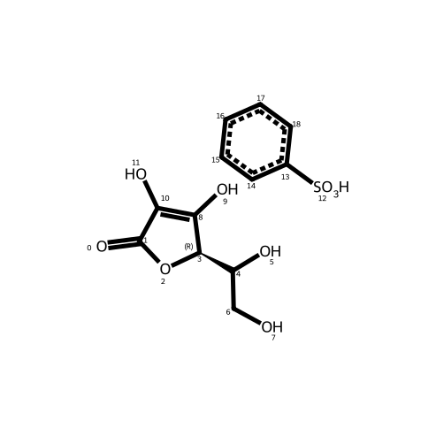 O=C1O[C@H](C(O)CO)C(O)=C1O.O=S(=O)(O)c1ccccc1